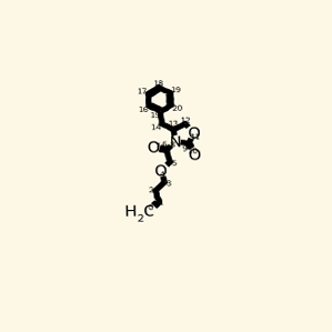 C=CCCOCC(=O)N1C(=O)OCC1Cc1ccccc1